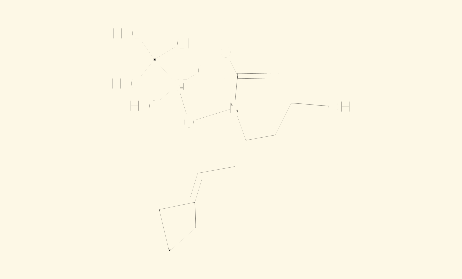 CC(C)(C)[Si](C)(C)ON(C(=O)O)[C@@H](CC=C1CCC1)CCO